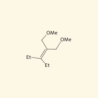 CCC(CC)=C(COC)COC